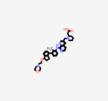 Cc1c(Nc2nccc3cc(CN4CCCCC4CC(=O)O)cnc23)cccc1-c1cccc2c1CCC2OCCN1CCOCC1